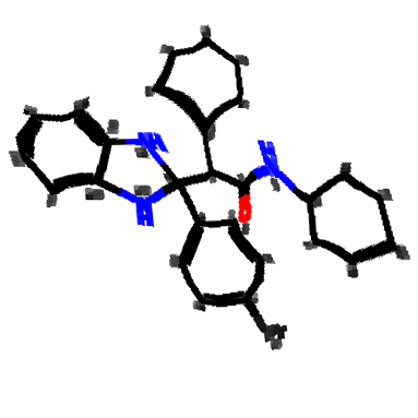 CC(C)c1ccc(C2(C(C(=O)NC3CCCCC3)C3CCCCC3)Nc3ccccc3N2)cc1